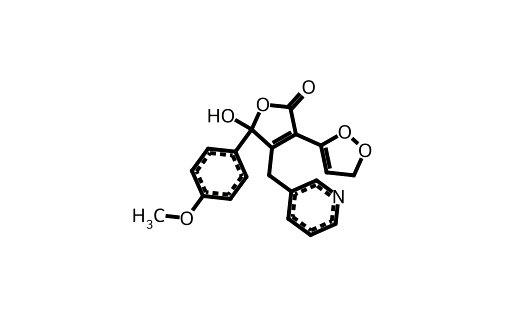 COc1ccc(C2(O)OC(=O)C(C3=CCOO3)=C2Cc2cccnc2)cc1